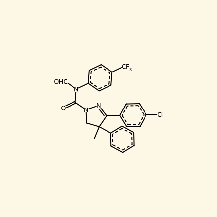 CC1(c2ccccc2)CN(C(=O)N(C=O)c2ccc(C(F)(F)F)cc2)N=C1c1ccc(Cl)cc1